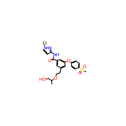 CCn1ccc(NC(=O)c2cc(CCOC(C)CO)cc(Oc3ccc(S(C)(=O)=O)cc3)c2)n1